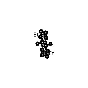 CCc1ccc(N(c2cc(C3CCCC3)c3ccc4c(N(c5ccc(CC)cc5)c5cccc6c5oc5c(-c7ccccc7CC)cccc56)cc(C5CCCC5)c5ccc2c3c54)c2cccc3c2oc2c(-c4ccccc4CC)cccc23)cc1